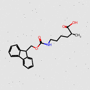 C[C@@H](CCCCNC(=O)OCC1c2ccccc2-c2ccccc21)C(=O)O